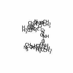 C=C(C(NC(=O)COCCNC(=O)CN1CCC(c2cc(OC(C)C)c(Nc3ncc(Cl)c(Nc4ccccc4S(=O)(=O)C(C)C)n3)cc2C)CC1)C(C)(C)C)N1CCCC1C(=O)NCc1ccc(-c2scnc2C)cc1